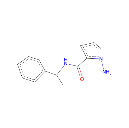 CC(NC(=O)c1cccn1N)c1ccccc1